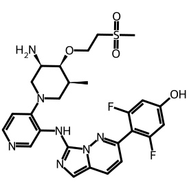 C[C@H]1CN(c2ccncc2Nc2ncc3ccc(-c4c(F)cc(O)cc4F)nn23)C[C@@H](N)[C@H]1OCCS(C)(=O)=O